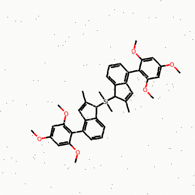 COc1cc(OC)c(-c2cccc3c2C=C(C)C3[Si](C)(C)C2C(C)=Cc3c(-c4c(OC)cc(OC)cc4OC)cccc32)c(OC)c1